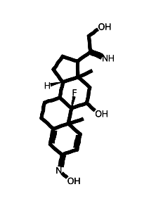 CC12CC(O)[C@@]3(F)C(CCC4=C/C(=N/O)C=CC43C)[C@@H]1CCC2C(=N)CO